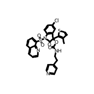 Cc1ccsc1C1(OC(=O)NCCc2ccncc2)C(=O)N(S(=O)(=O)c2cccc3cccnc23)c2ccc(Cl)cc21